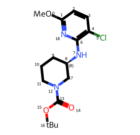 COc1ccc(Cl)c(N[C@@H]2CCCN(C(=O)OC(C)(C)C)C2)n1